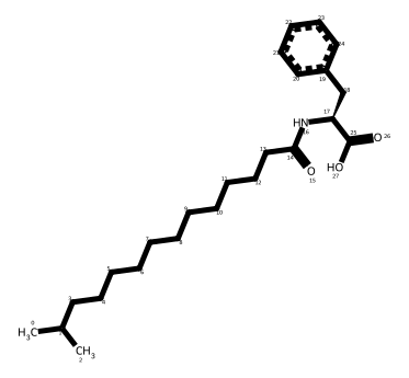 CC(C)CCCCCCCCCCCC(=O)N[C@@H](Cc1ccccc1)C(=O)O